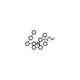 C=C(/C=C\C=C/C)C1(c2ccccc2)c2ccccc2-c2ccc(N(c3ccc(-c4ccccc4-c4ccc(-c5ccccc5)cc4)cc3)c3ccccc3-c3ccccc3)cc21